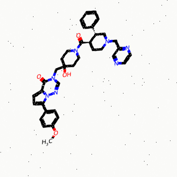 COc1ccc(-c2ccc3c(=O)n(CC4(O)CCN(C(=O)[C@@H]5CCN(Cc6cnccn6)C[C@H]5c5ccccc5)CC4)cnn23)cc1